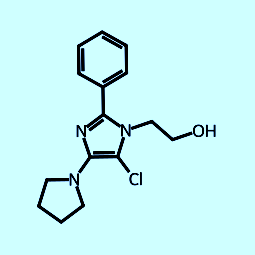 OCCn1c(-c2ccccc2)nc(N2CCCC2)c1Cl